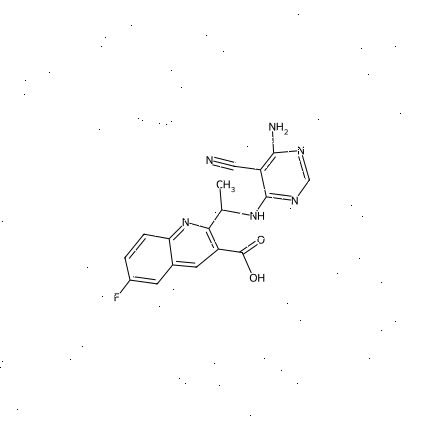 CC(Nc1ncnc(N)c1C#N)c1nc2ccc(F)cc2cc1C(=O)O